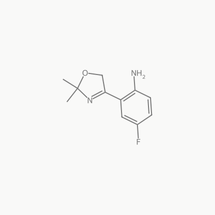 CC1(C)N=C(c2cc(F)ccc2N)CO1